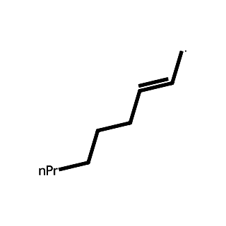 [CH2]/C=C/CCCCCC